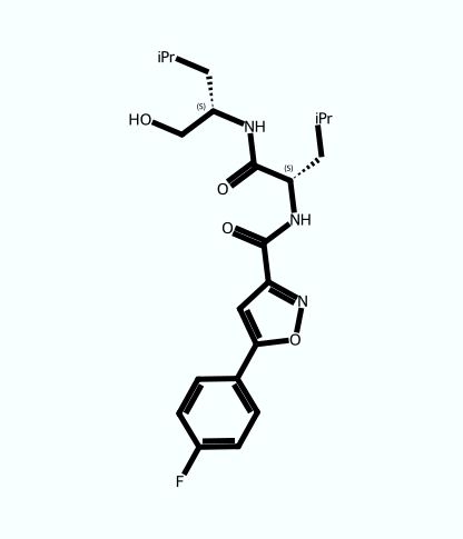 CC(C)C[C@@H](CO)NC(=O)[C@H](CC(C)C)NC(=O)c1cc(-c2ccc(F)cc2)on1